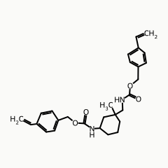 C=Cc1ccc(COC(=O)NCC2(C)CCCC(NC(=O)OCc3ccc(C=C)cc3)C2)cc1